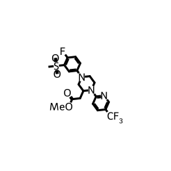 COC(=O)CC1CN(c2ccc(F)c(S(C)(=O)=O)c2)CCN1c1ccc(C(F)(F)F)cn1